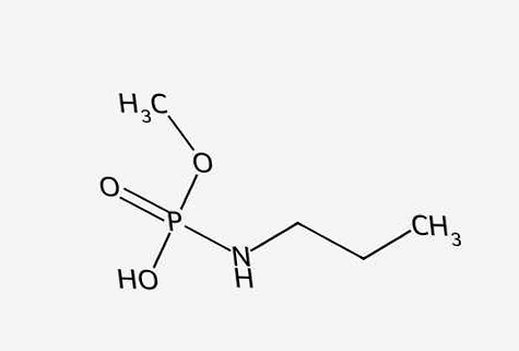 CCCNP(=O)(O)OC